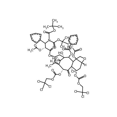 CC(=O)O[C@@H](C(=O)O[C@H]1C[C@@]2(O)[C@@H](OC(=O)c3ccccc3)C3[C@](C)(C(=O)[C@H](OC(=O)OCC(Cl)(Cl)Cl)C(=C1C)C2(C)C)[C@@H](OC(=O)OCC(Cl)(Cl)Cl)C[C@H]1OC[C@@]31OC(C)=O)C(c1ccccc1)N(C(=O)OC(C)(C)C)C(=O)OC(C)(C)C